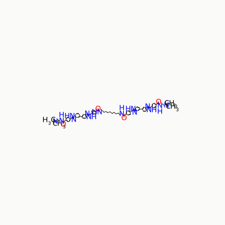 CN(C)CCNC(=O)c1ccc(-c2nc3cc(-c4ccc5[nH]c(-c6ccc(C(=O)NCCCCCCCCCCNC(=O)c7ccc(-c8nc9cc(-c%10ccc%11[nH]c(-c%12ccc(C(=O)NCCN(C)C)cc%12)nc%11c%10)ccc9[nH]8)cc7)cc6)nc5c4)ccc3[nH]2)cc1